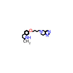 C=C1CCc2ccc(OCCCCN3CCc4ncncc4C3)cc2N1